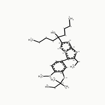 CCCCC(O)(CCCC)c1nn2c(-c3ccc(OC)c(SC(C)(C)CO)c3)c(CC)nc2s1